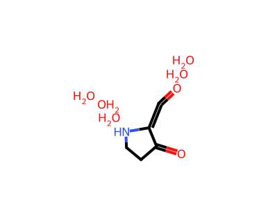 O.O.O.O.O.O=C=C1NCCC1=O